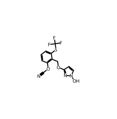 N#COc1cccc(SC(F)(F)F)c1COc1ccn(O)n1